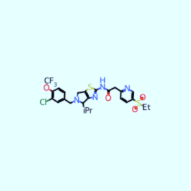 CCS(=O)(=O)c1ccc(CC(=O)Nc2nc3c(s2)CN(Cc2ccc(OC(F)(F)F)c(Cl)c2)C3C(C)C)nc1